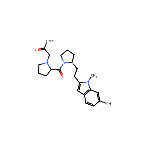 COC(=O)CN1CCC[C@@H]1C(=O)N1CCC[C@H]1CCc1cc2ccc(C#N)cc2n1C